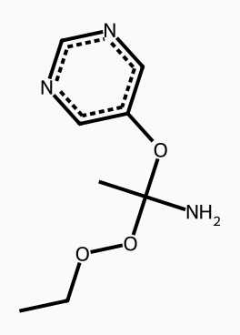 CCOOC(C)(N)Oc1cncnc1